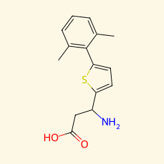 Cc1cccc(C)c1-c1ccc(C(N)CC(=O)O)s1